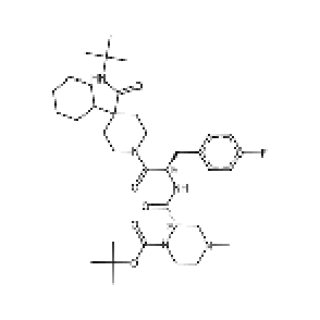 CN1CCN(C(=O)OC(C)(C)C)[C@H](C(=O)N[C@H](Cc2ccc(F)cc2)C(=O)N2CCC(C(=O)NC(C)(C)C)(C3CCCCC3)CC2)C1